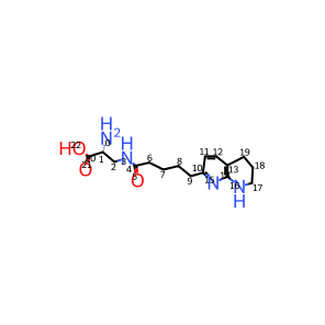 N[C@H](CNC(=O)CCCCc1ccc2c(n1)NCCC2)C(=O)O